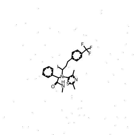 CNC(=O)C(c1ccccc1)N(c1sc(C)nc1C)C(I)CCc1ccc(C(F)(F)F)cc1